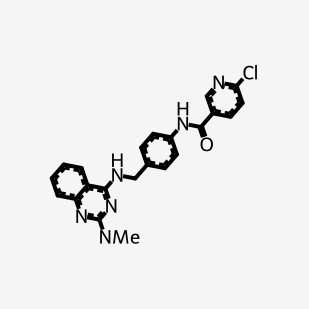 CNc1nc(NCc2ccc(NC(=O)c3ccc(Cl)nc3)cc2)c2ccccc2n1